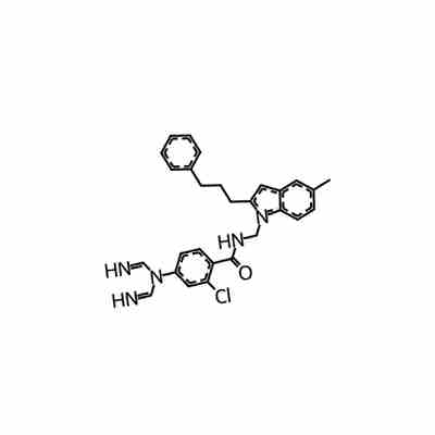 Cc1ccc2c(c1)cc(CCCc1ccccc1)n2CNC(=O)c1ccc(N(C=N)C=N)cc1Cl